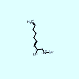 C=CCCC/C=C/C(CC)CNCCC